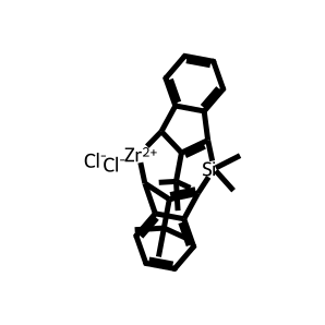 CC(C)(C)C1=C2c3ccccc3[CH]1[Zr+2][CH]1C(C(C)(C)C)=C(c3ccccc31)[Si]2(C)C.[Cl-].[Cl-]